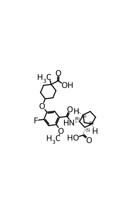 COc1cc(F)c(OC2CCC(C)(C(=O)O)CC2)cc1C(=O)N[C@@H]1[C@H]2CC[C@H](C2)[C@@H]1C(=O)O